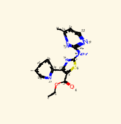 CCOC(=O)c1sc(Nc2nccc(C)n2)nc1-c1ccccn1